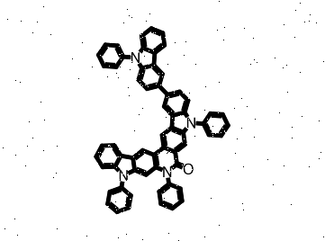 O=c1c2cc3c(cc2c2cc4c5ccccc5n(-c5ccccc5)c4cc2n1-c1ccccc1)c1cc(-c2ccc4c(c2)c2ccccc2n4-c2ccccc2)ccc1n3-c1ccccc1